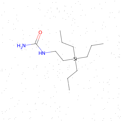 CCC[Si](CCC)(CCC)CCNC(N)=O